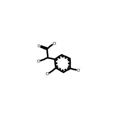 O=C(Cl)C(Cl)c1ccc(Cl)cc1Cl